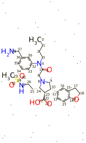 CCCCN(C(=O)CN1C[C@H](c2ccc3c(c2)CCO3)[C@@H](C(=O)O)[C@@H]1CCNS(C)(=O)=O)c1cccc(CN)c1